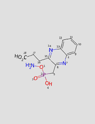 NOP(=O)(O)Cc1nc2ccccc2nc1CCC(=O)O